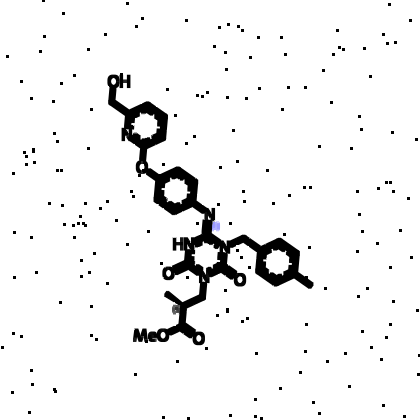 COC(=O)[C@@H](C)Cn1c(=O)[nH]/c(=N\c2ccc(Oc3cccc(CO)n3)cc2)n(Cc2ccc(C)cc2)c1=O